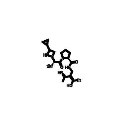 CC/C(O)=C(\CNC(=O)[C@@H]1CCCN1C(=O)[C@@H](N1CC(C2CC2)N1)C(C)(C)C)C(C)=N